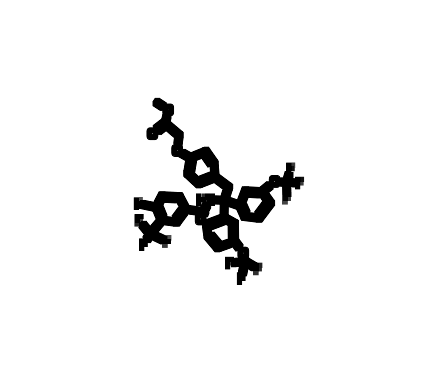 COC(=O)COc1ccc(CC(NC(=O)c2ccc(F)c(C(F)(F)F)c2)(c2cccc(OC(F)(F)F)c2)c2cccc(OC(F)(F)F)c2)cc1